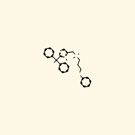 Cn1c(C[N+](C)(C)CCCOc2ccccc2)cnc1C(O)(c1ccccc1)c1ccccc1